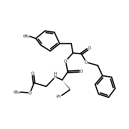 CC(C)C[C@H](NCC(=O)OC(C)(C)C)C(=O)OC(Cc1ccc(C(C)(C)C)cc1)C(=O)OCc1ccccc1